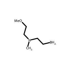 BCCN(C)CCOC